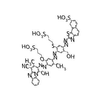 Cc1cc(N=Nc2c(C)c(C#N)c3nc4ccccc4n3c2O)c(OCCCS(=O)(=O)O)cc1N=Nc1cc(CO)c(N=Nc2nc3ccc4ccc(S(=O)(=O)O)cc4c3s2)cc1SCCCS(=O)(=O)O